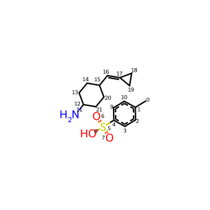 Cc1ccc(S(=O)(=O)O)cc1.NC1CCC(C=C2CC2)CC1